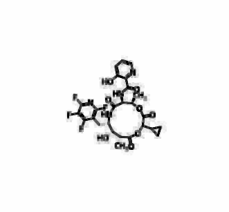 C[C@H]1OC(=O)C(C2CC2)OC(=O)[C@H](C)[C@H](O)[C@H](Cc2c(F)nc(F)c(F)c2F)NC(=O)[C@H]1NC(=O)c1ncccc1O